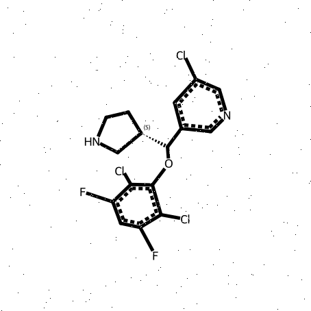 Fc1cc(F)c(Cl)c(OC(c2cncc(Cl)c2)[C@H]2CCNC2)c1Cl